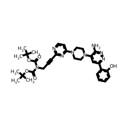 CC(C)(C)OC(=O)N(CC#Cc1nccc(N2CCN(c3cc(-c4ccccc4O)nnc3N)CC2)n1)C(=O)OC(C)(C)C